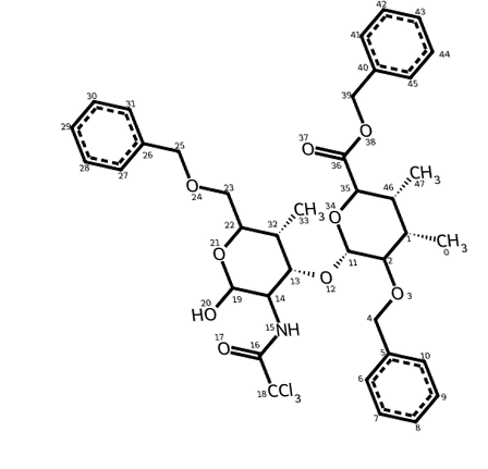 C[C@@H]1C(OCc2ccccc2)[C@H](O[C@@H]2C(NC(=O)C(Cl)(Cl)Cl)C(O)OC(COCc3ccccc3)[C@@H]2C)OC(C(=O)OCc2ccccc2)[C@@H]1C